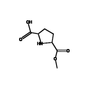 COC(=O)C1CCC(C(=O)O)N1